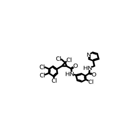 O=C(NCc1cccnc1)c1cc(NC(=O)C2C(c3cc(Cl)c(Cl)c(Cl)c3)C2(Cl)Cl)ccc1Cl